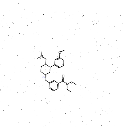 CCN(CC)C(=O)c1cccc(/C=C2/CCC(CN(C)C)C(c3cccc(OC)c3)C2)c1